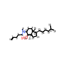 C=CCCCN(C)[C@H]1CC[C@]2(C)[C@@H](CCCCC(C)C)CC[C@@]2(C)[C@H]1O